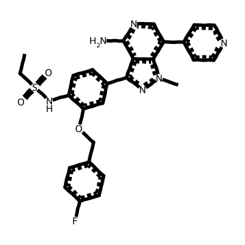 CCS(=O)(=O)Nc1ccc(-c2nn(C)c3c(-c4ccncc4)cnc(N)c23)cc1OCc1ccc(F)cc1